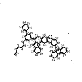 C=C/C=C\C=C/Cc1cc(/C(=C/C)c2c(C)c3ccccc3n2-c2ccc3oc4ccc(-n5c6ccccc6c6ccccc65)cc4c3c2)cc(-c2ccccc2)c1